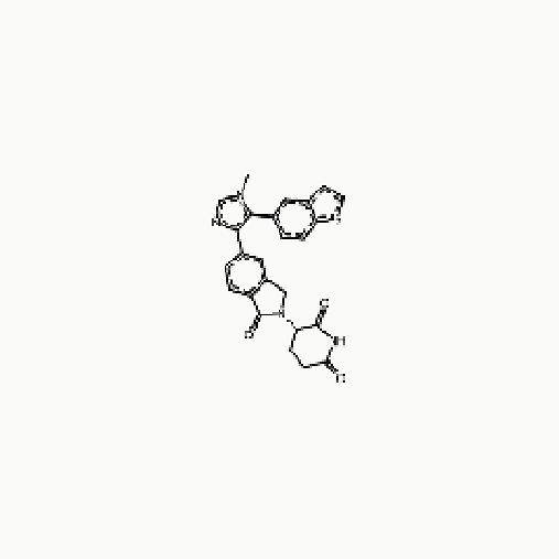 Cn1cnc(-c2ccc3c(c2)CN([C@H]2CCC(=O)NC2=O)C3=O)c1-c1ccc2sccc2c1